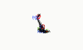 CC(C)(C)OC(=O)NCCCCC1CCN(C(=O)CCc2c(-c3ccc(F)cc3)[nH]c3ccc(F)cc23)C1